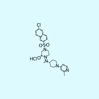 Cc1cc(N2CCC(N(C)N3CCN(S(=O)(=O)c4ccc5cc(Cl)ccc5c4)CC3=O)CC2)ccn1.Cl